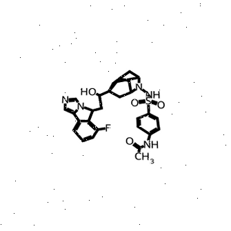 CC(=O)Nc1ccc(S(=O)(=O)NN2C3CC4CC2CC(C(O)CC2c5c(F)cccc5-c5cncn52)(C4)C3)cc1